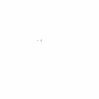 CCCCCCC(CC)C(CC)(CC)C(O)(O)CC